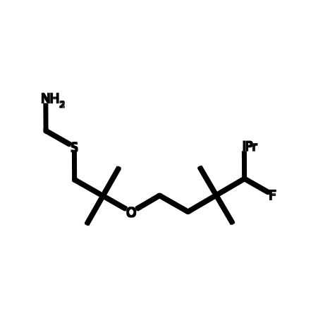 CC(C)C(F)C(C)(C)CCOC(C)(C)CSCN